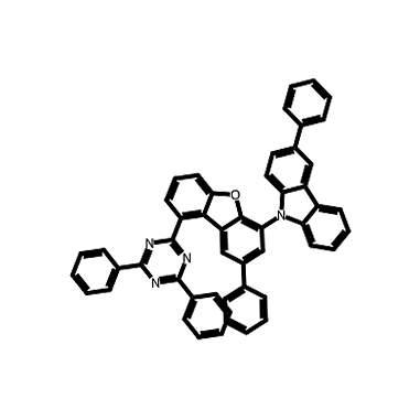 c1ccc(-c2cc(-n3c4ccccc4c4cc(-c5ccccc5)ccc43)c3oc4cccc(-c5nc(-c6ccccc6)nc(-c6ccccc6)n5)c4c3c2)cc1